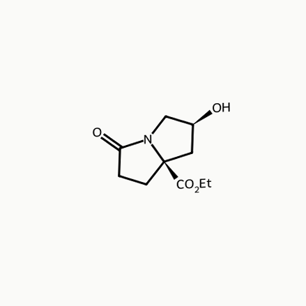 CCOC(=O)[C@@]12CCC(=O)N1C[C@@H](O)C2